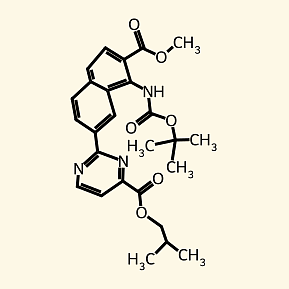 COC(=O)c1ccc2ccc(-c3nccc(C(=O)OCC(C)C)n3)cc2c1NC(=O)OC(C)(C)C